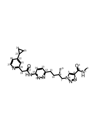 CNC(=O)c1cn(C[C@H](F)CCc2ccc(NC(=O)Cc3cc(C4CC4)ccn3)nn2)nn1